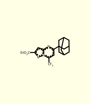 CCOC(=O)c1cc2nc(C34CC5CC(CC(C5)C3)C4)cc(C(F)(F)F)n2n1